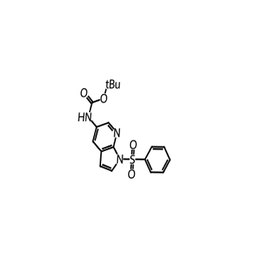 CC(C)(C)OC(=O)Nc1cnc2c(ccn2S(=O)(=O)c2ccccc2)c1